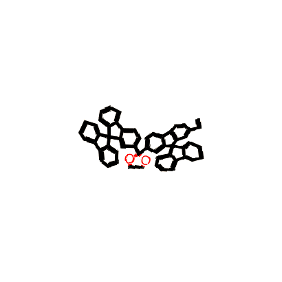 C=Cc1ccc2c(c1)C1(c3ccccc3-c3ccccc31)c1cc(C3(c4ccc5c(c4)C4(c6ccccc6-c6ccccc64)c4ccccc4-5)OCCO3)ccc1-2